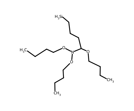 CCCCOC(CCC[SiH3])N(OCCCC)OCCCC